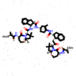 CN[C@@H](C)C(=S)N[C@H]1CCS[C@H]2CC(C)(C)[C@@H](C(=O)C[C@H]3c4ccccc4C[C@H]3C(=O)NC3=C(C)C[C@@H](NC(=O)[C@@H]4Cc5ccccc5[C@@H]4NC(=O)[C@H]4N5C(=O)[C@@H](NC(=S)[C@H](C)NC)CCS[C@H]5CC4(C)C)CC3)N2C1=O